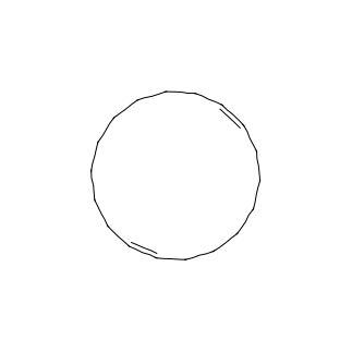 C1=CCCCCCCCCC=CCCCCCC1